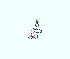 Fc1ccc(-c2c3ccccc3c(-c3cccc4c3oc3ccccc34)c3ccccc23)cc1